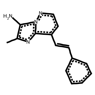 Cc1nc2c(C=Cc3ccccc3)ccnn2c1N